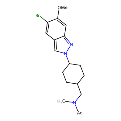 COc1cc2nn(C3CCC(CN(C)C(C)=O)CC3)cc2cc1Br